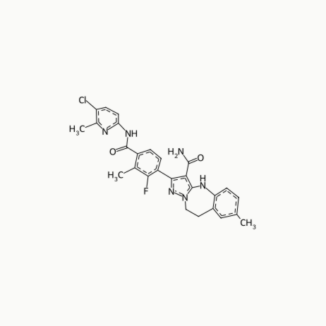 Cc1ccc2c(c1)CCn1nc(-c3ccc(C(=O)Nc4ccc(Cl)c(C)n4)c(C)c3F)c(C(N)=O)c1N2